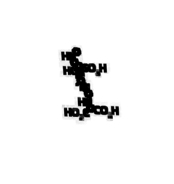 Cc1cc(N=Nc2c(S(=O)(=O)O)cc3cc(Nc4ccccc4)ccc3c2O)ccc1N=Nc1ccc(CNc2cc(C(=O)O)cc(C(=O)O)c2)cc1